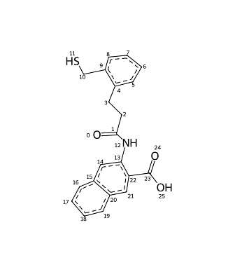 O=C(CCc1ccccc1CS)Nc1cc2ccccc2cc1C(=O)O